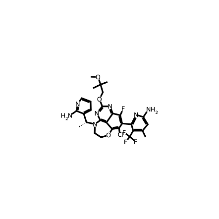 COC(C)(C)COc1nc2c3c(c(Cl)c(-c4nc(N)cc(C)c4C(F)(F)F)c(F)c3n1)OCCN2[C@H](C)c1cccnc1N